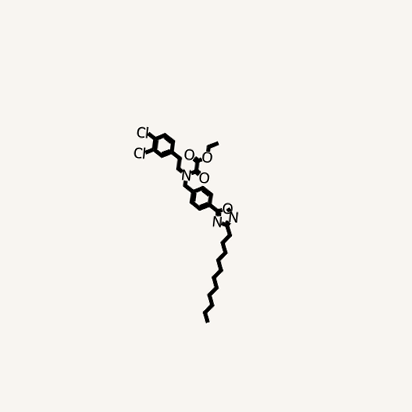 CCCCCCCCCCCc1noc(-c2ccc(CN(CCc3ccc(Cl)c(Cl)c3)C(=O)C(=O)OCC)cc2)n1